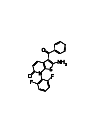 Nc1sc2c(ccc(=O)n2-c2c(F)cccc2F)c1C(=O)c1ccccc1